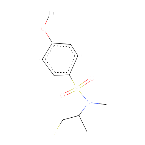 CCOc1ccc(S(=O)(=O)N(C)C(C)CS)cc1